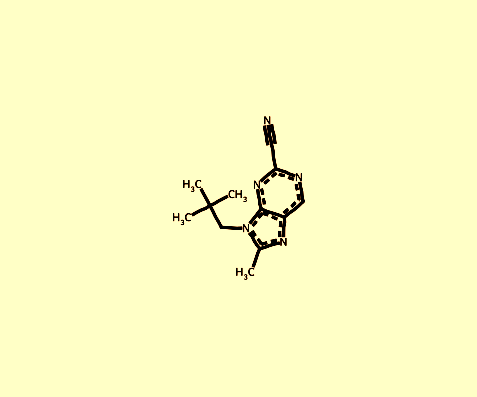 Cc1nc2cnc(C#N)nc2n1CC(C)(C)C